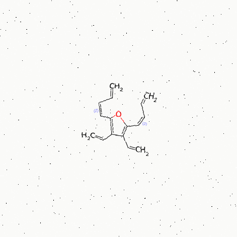 C=C/C=C\c1oc(/C=C\C=C)c(C=C)c1C=C